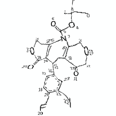 CC(C)(C)OC(=O)N1C2=C(C(=O)COC2)C(c2ccc(F)c(I)c2)C2=C1COC2=O